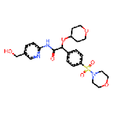 O=C(Nc1ccc(CO)cn1)C(OC1CCOCC1)c1ccc(S(=O)(=O)N2CCOCC2)cc1